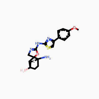 BC12CCC(N)(CC1)C1(CN=C(Nc3nc(-c4ccc(OC)cc4)cs3)O1)C2